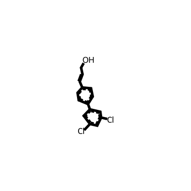 OCC=Cc1ccc(-c2cc(Cl)cc(Cl)c2)cc1